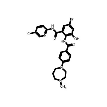 CN1CCCN(c2ccc(C(=O)Nc3c(O)cc(Br)cc3C(=O)Nc3ccc(Cl)cn3)cc2)CC1